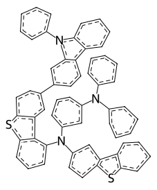 c1ccc(N(c2ccccc2)c2cccc(N(c3ccc4sc5ccccc5c4c3)c3cccc4sc5ccc(-c6ccc7c8ccccc8n(-c8ccccc8)c7c6)cc5c34)c2)cc1